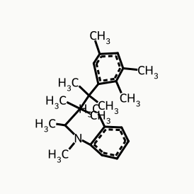 Cc1cc(C)c(C)c(C(C)(C)C(C)(C)C(C)N(C)c2ccccc2C)c1